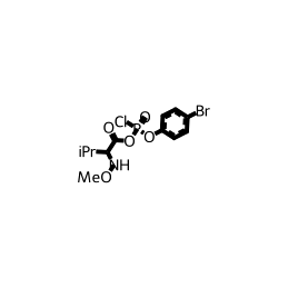 CONC(C(=O)OP(=O)(Cl)Oc1ccc(Br)cc1)C(C)C